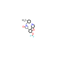 Cc1ccccc1CN1CC(c2ccc(OC(F)F)c3oc4ccncc4c23)CC1=O